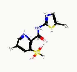 CCS(=O)(=O)c1cc(C(F)(F)F)cnc1C(=O)Nc1ncc(C(F)(F)F)s1